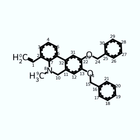 C=Cc1cccc2c1N(C)Cc1cc(OCc3ccccc3)c(OCc3ccccc3)cc1-2